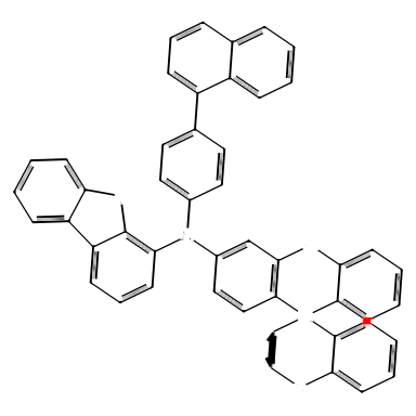 c1ccc2c(c1)Oc1cc(N(c3ccc(-c4cccc5ccccc45)cc3)c3cccc4c3sc3ccccc34)ccc1[Si]21c2ccccc2Sc2ccccc21